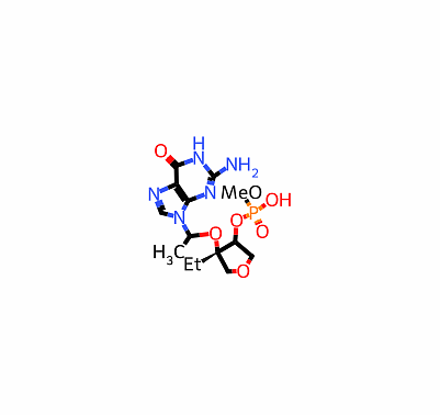 CC[C@]1(OC(C)n2cnc3c(=O)[nH]c(N)nc32)COCC1OP(=O)(O)OC